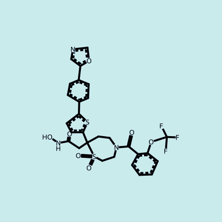 O=C(CC1(c2ccc(-c3ccc(-c4cnco4)cc3)s2)CCN(C(=O)c2ccccc2OC(F)(F)F)CCS1(=O)=O)NO